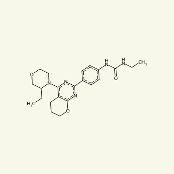 CCNC(=O)Nc1ccc(-c2nc3c(c(N4CCOCC4CC)n2)CCCO3)cc1